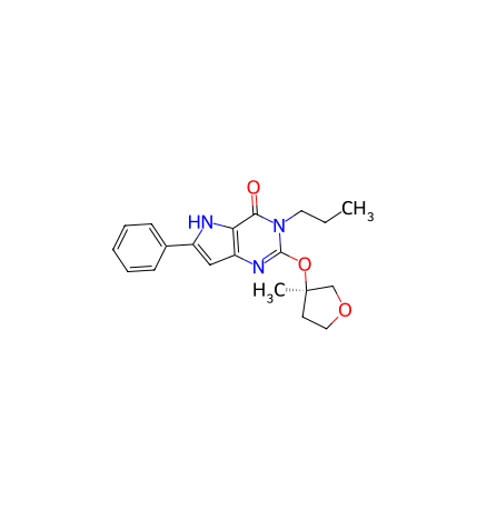 CCCn1c(O[C@]2(C)CCOC2)nc2cc(-c3ccccc3)[nH]c2c1=O